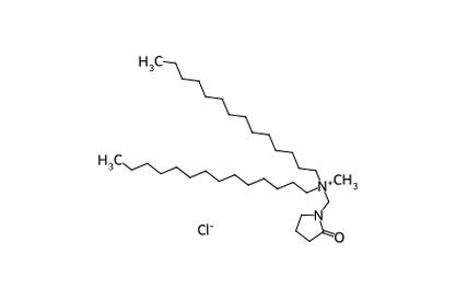 CCCCCCCCCCCCCC[N+](C)(CCCCCCCCCCCCCC)CN1CCCC1=O.[Cl-]